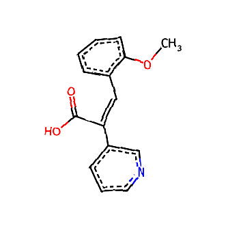 COc1ccccc1C=C(C(=O)O)c1cccnc1